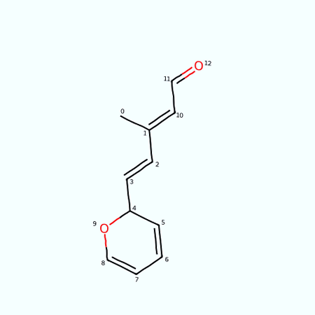 CC(/C=C/C1C=CC=CO1)=C\C=O